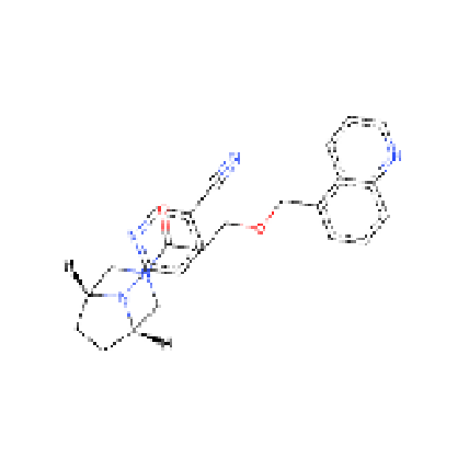 N#Cc1ccc(N2[C@@H]3CC[C@H]2CN(C(=O)CCOCc2cccc4ncccc24)C3)nc1